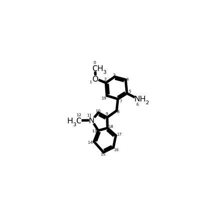 COc1ccc(N)c(Cc2cn(C)c3ccccc23)c1